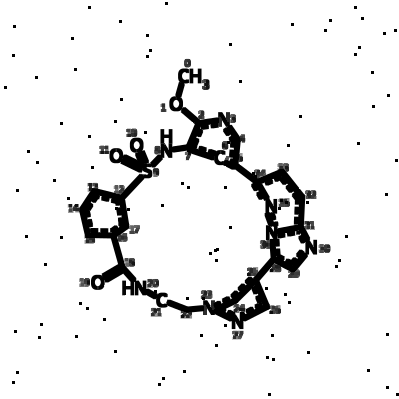 COc1ncc2cc1NS(=O)(=O)c1cccc(c1)C(=O)NCCn1cc(cn1)-c1cnc3ccc-2nn13